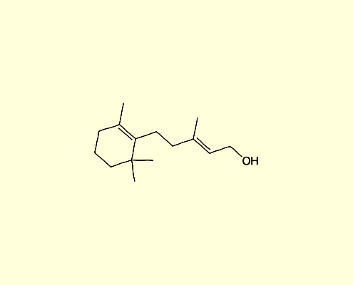 CC1=C(CC/C(C)=C/CO)C(C)(C)CCC1